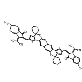 Cc1ccc2c(c1)C(=O)/C(=C\c1cc3c(s1)C1=CC4C=C5OC6(CCCCC6)c6cc(/C=C7\C(=O)C8=CCC(C)CC=C8C7=C(C#N)C#N)sc6C5=CC4C=C1OC31CCCCC1)C2=C(C#N)C#N